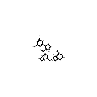 O=C([C@H]1CC(Cn2cc3cccc(Cl)c3n2)C2CCC21)N1N=CCC1c1cc(F)cc(F)c1